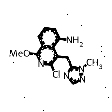 COc1nc(Cl)c(Cc2ncnn2C)c2c(N)cccc12